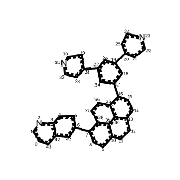 c1cnc2ccc(-c3ccc4ccc5ccc(-c6cc(-c7ccncc7)cc(-c7ccncc7)c6)c6ccc3c4c56)cc2c1